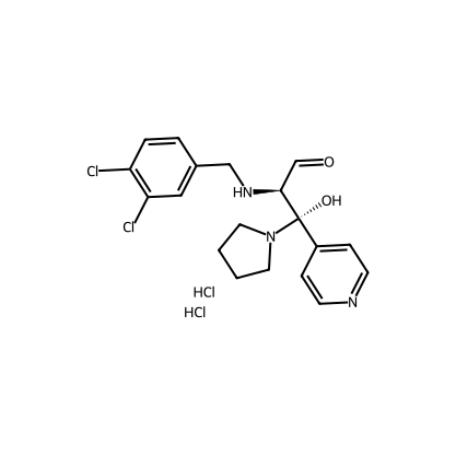 Cl.Cl.O=C[C@H](NCc1ccc(Cl)c(Cl)c1)[C@@](O)(c1ccncc1)N1CCCC1